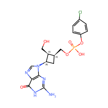 Nc1nc2c(ncn2[C@@H]2C[C@H](COP(=O)(O)Oc3ccc(Cl)cc3)[C@@H]2CO)c(=O)[nH]1